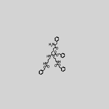 NC(Cc1ccccc1)C(=O)CCCC(NCCCNC(=O)OCc1ccccc1)N(CCCNC(=O)OCc1ccccc1)C(=O)OCc1ccccc1